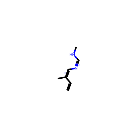 C=C/C(C)=C\N=C/NC